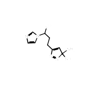 CC(CCC1=CC(N)(N)N=N1)n1ccnc1